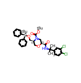 CC(C)(C)OC(=O)N1C[C@@H](C(=O)NC(C)(C)c2ccc(Cl)c(Cl)c2)OC[C@H]1CO[Si](c1ccccc1)(c1ccccc1)C(C)(C)C